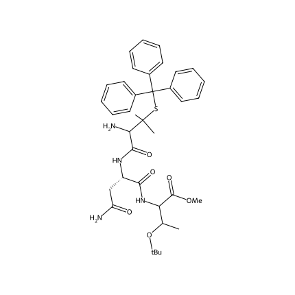 COC(=O)C(NC(=O)[C@H](CC(N)=O)NC(=O)C(N)C(C)(C)SC(c1ccccc1)(c1ccccc1)c1ccccc1)C(C)OC(C)(C)C